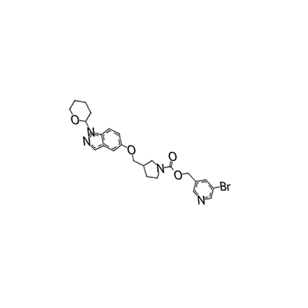 O=C(OCc1cncc(Br)c1)N1CCC(COc2ccc3c(cnn3C3CCCCO3)c2)C1